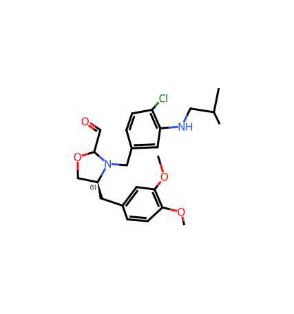 COc1ccc(C[C@H]2COC(C=O)N2Cc2ccc(Cl)c(NCC(C)C)c2)cc1OC